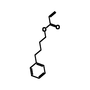 C=CC(=O)OCCCCc1ccccc1